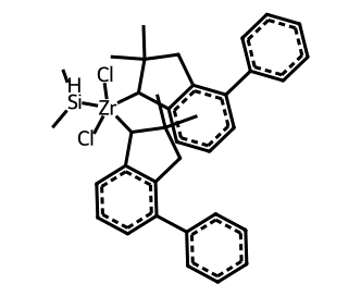 C[SiH](C)[Zr]([Cl])([Cl])([CH]1c2cccc(-c3ccccc3)c2CC1(C)C)[CH]1c2cccc(-c3ccccc3)c2CC1(C)C